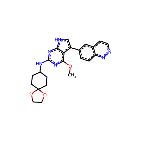 COc1nc(NC2CCC3(CC2)OCCO3)nc2[nH]cc(-c3ccc4nnccc4c3)c12